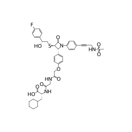 CS(=O)(=O)NCC#Cc1ccc(N2C(=O)[C@H](SC[C@H](O)c3ccc(F)cc3)[C@H]2c2ccc(OCC(=O)NCC(=O)N[C@H](CC3CCCCC3)C(=O)O)cc2)cc1